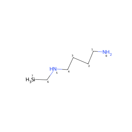 NCCCCNC[SiH3]